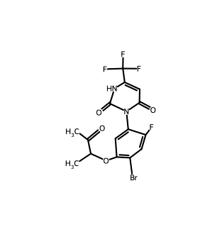 CC(=O)C(C)Oc1cc(-n2c(=O)cc(C(F)(F)F)[nH]c2=O)c(F)cc1Br